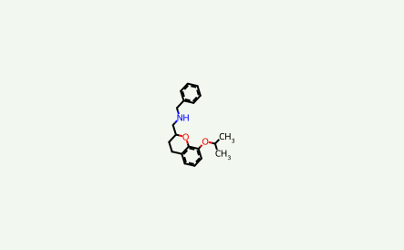 CC(C)Oc1cccc2c1OC(CNCc1ccccc1)CC2